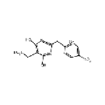 O=C(O)Cc1c(O)nc(Cc2ccc([N+](=O)[O-])c[13cH]2)nc1O